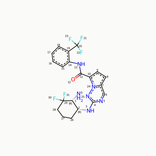 N[C@@H]1[C@H](Nc2ncc3ccc(C(=O)Nc4ccccc4C(F)(F)F)n3n2)CCCC1(F)F